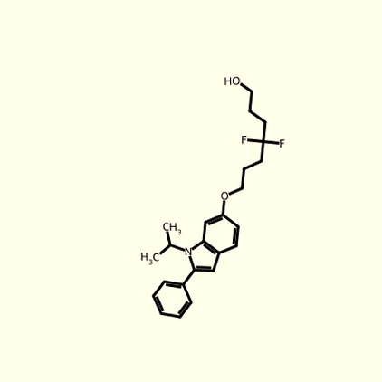 CC(C)n1c(-c2ccccc2)cc2ccc(OCCCC(F)(F)CCCO)cc21